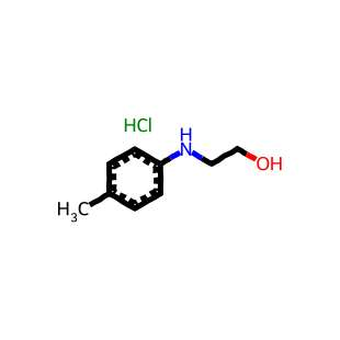 Cc1ccc(NCCO)cc1.Cl